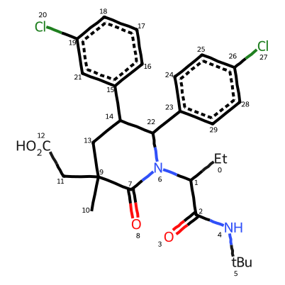 CCC(C(=O)NC(C)(C)C)N1C(=O)C(C)(CC(=O)O)CC(c2cccc(Cl)c2)C1c1ccc(Cl)cc1